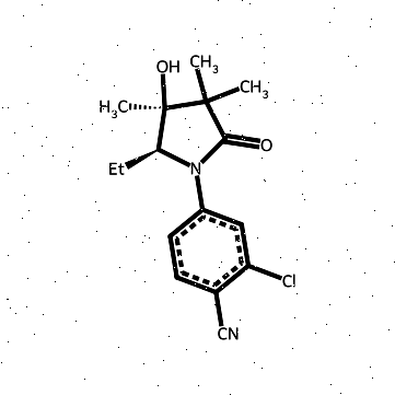 CC[C@@H]1N(c2ccc(C#N)c(Cl)c2)C(=O)C(C)(C)[C@]1(C)O